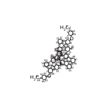 C=Cc1ccc(Oc2ccc(C3(c4cccc(F)c4)c4ccccc4-c4ccc(N(c5cccc(F)c5)c5ccc6c(c5)C5(c7ccccc7-6)c6ccccc6-c6ccc(N(c7cccc(F)c7)c7ccc8c(c7)C(c7ccc(Oc9ccc(C=C)cc9)cc7)(c7cccc(F)c7)c7ccccc7-8)cc65)cc43)cc2)cc1